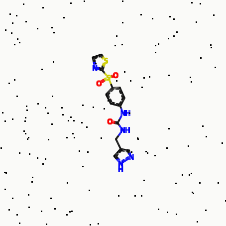 O=C(NCc1cn[nH]c1)Nc1ccc(S(=O)(=O)c2nccs2)cc1